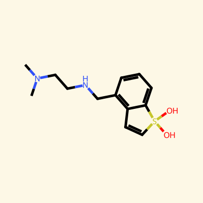 CN(C)CCNCc1cccc2c1C=CS2(O)O